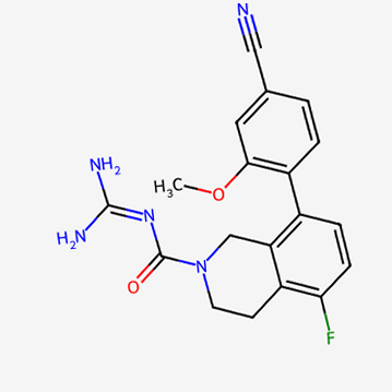 COc1cc(C#N)ccc1-c1ccc(F)c2c1CN(C(=O)N=C(N)N)CC2